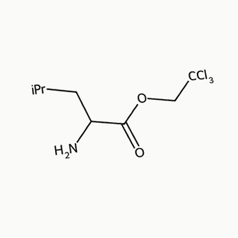 CC(C)CC(N)C(=O)OCC(Cl)(Cl)Cl